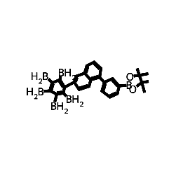 Bc1c(B)c(B)c(-c2ccc3c(-c4cccc(B5OC(C)(C)C(C)(C)O5)c4)cccc3c2)c(B)c1B